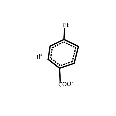 CCc1ccc(C(=O)[O-])cc1.[Tl+]